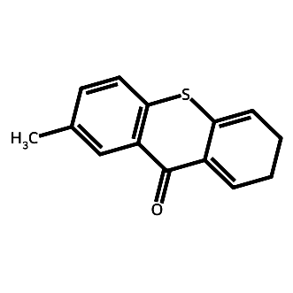 Cc1ccc2sc3c(c(=O)c2c1)=CCCC=3